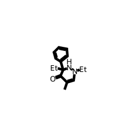 CCN1C=C(C)C(=O)C(CC)(c2ccccc2)N1